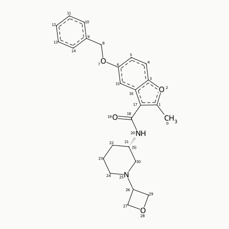 Cc1oc2ccc(OCc3ccccc3)cc2c1C(=O)N[C@H]1CCCN(C2COC2)C1